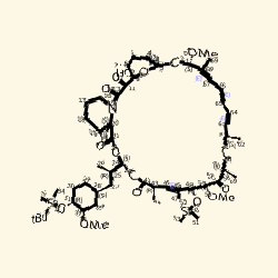 CO[C@H]1C[C@@H]2CC[C@@H](C)[C@@](O)(O2)C(=O)C(=O)N2CCCC[C@H]2C(=O)O[C@H]([C@H](C)C[C@@H]2CC[C@@H](O[Si](C)(C)C(C)(C)C)[C@H](OC)C2)CC(=O)[C@H](C)/C=C(\C)[C@@H](O[Si](C)(C)C)[C@@H](OC)C(=O)[C@H](C)C[C@H](C)/C=C/C=C/C=C/1C